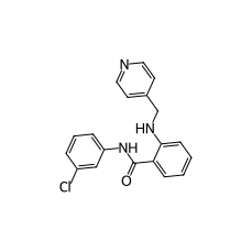 O=C(Nc1cccc(Cl)c1)c1ccccc1NCc1ccncc1